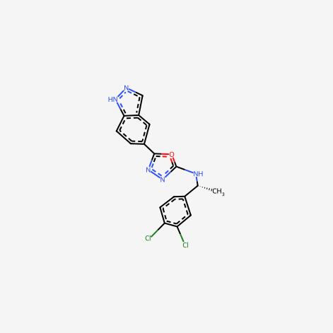 C[C@@H](Nc1nnc(-c2ccc3[nH]ncc3c2)o1)c1ccc(Cl)c(Cl)c1